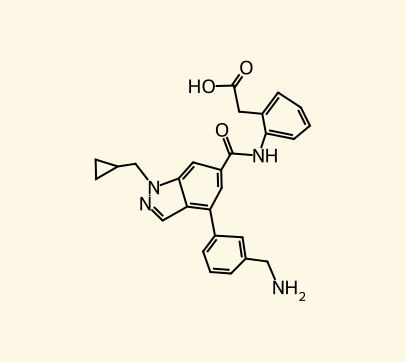 NCc1cccc(-c2cc(C(=O)Nc3ccccc3CC(=O)O)cc3c2cnn3CC2CC2)c1